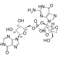 Nc1nc2c(ncn2[C@@]2(OP(=O)(O)OC[C@H]3O[C@@H](n4cnc5c(=O)[nH]cnc54)[C@H](O)[C@@H]3O)CO[C@@]3(CO)CO[C@H]32)c(=O)[nH]1